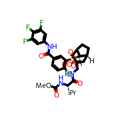 COC(=O)N[C@H](C(=O)NC[C@@]1(O)CC2CC[C@@H](C1)[C@H]2S(=O)(=O)c1cc(C(=O)Nc2cc(F)c(F)c(F)c2)ccc1Cl)C(C)C